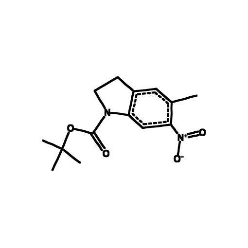 Cc1cc2c(cc1[N+](=O)[O-])N(C(=O)OC(C)(C)C)CC2